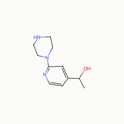 CC(O)c1ccnc(N2CCNCC2)c1